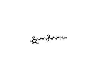 CC(C)NCCCCCC(=O)NCC/C=C/CN1C(=O)C=CC1=O